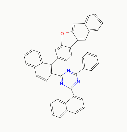 c1ccc(-c2nc(-c3ccc4ccccc4c3-c3ccc4c(c3)oc3cc5ccccc5cc34)nc(-c3cccc4ccccc34)n2)cc1